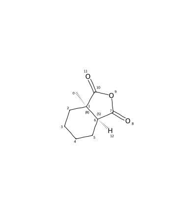 C[C@@]12CCCC[C@@H]1C(=O)OC2=O